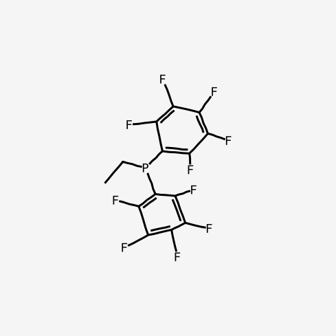 CCP(c1c(F)c(F)c(F)c(F)c1F)c1c(F)c(F)c(F)c(F)c1F